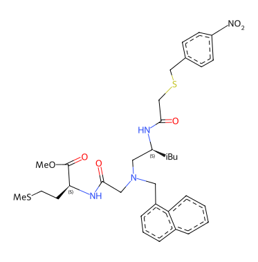 CCC(C)[C@@H](CN(CC(=O)N[C@@H](CCSC)C(=O)OC)Cc1cccc2ccccc12)NC(=O)CSCc1ccc([N+](=O)[O-])cc1